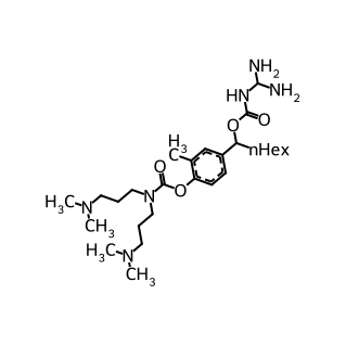 CCCCCCC(OC(=O)NC(N)N)c1ccc(OC(=O)N(CCCN(C)C)CCCN(C)C)c(C)c1